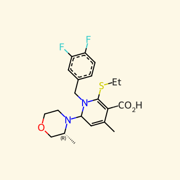 CCSC1=C(C(=O)O)C(C)=CC(N2CCOC[C@H]2C)N1Cc1ccc(F)c(F)c1